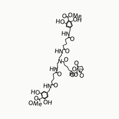 COC(=O)c1c(O)cc(CNC(=O)CCCC(=O)NCCN(CCNC(=O)CCCC(=O)NCc2cc(O)c(C(=O)OC)c(O)c2)C(=O)CCCC(=O)O[N+]2(O)C(=O)CCC2=O)cc1O